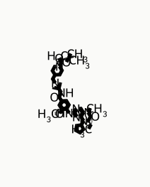 CC[C@@H]1C(=O)N(C)c2cnc(Nc3ccc(C(=O)NC4CN(CC5CCN(C(=O)OC(C)(C)C)CC5)C4)cc3OC)nc2N1C1CCCC1